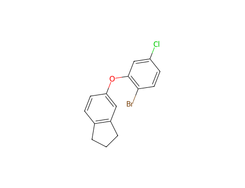 Clc1ccc(Br)c(Oc2ccc3c(c2)CCC3)c1